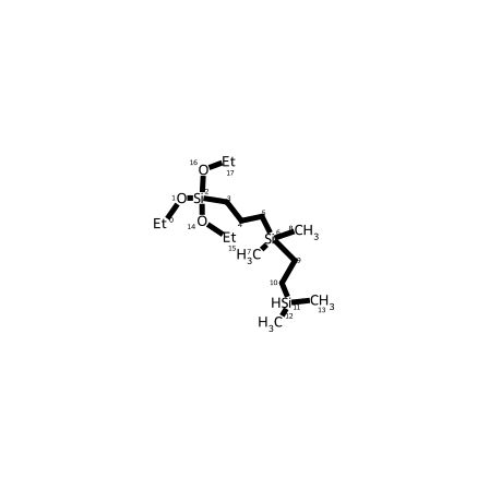 CCO[Si](CCC[Si](C)(C)CC[SiH](C)C)(OCC)OCC